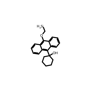 OC1(c2c3ccccc3c(OC[SiH3])c3ccccc23)CCCCC1